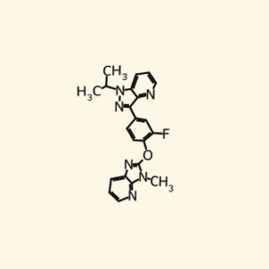 CC(C)n1nc(-c2ccc(Oc3nc4cccnc4n3C)c(F)c2)c2ncccc21